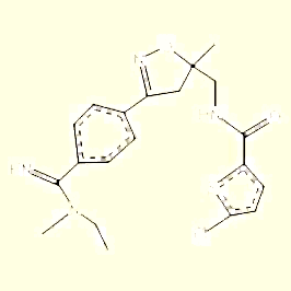 CCN(C)C(=N)c1ccc(C2=NOC(C)(CNC(=O)c3ccc(Cl)s3)C2)cc1